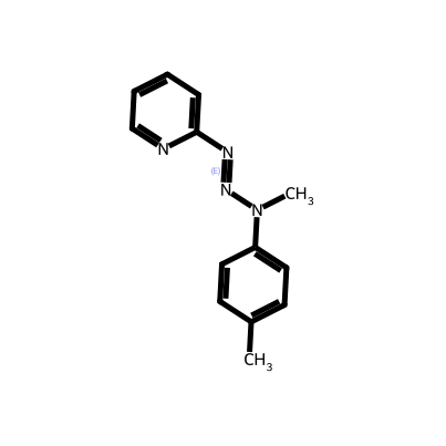 Cc1ccc(N(C)/N=N/c2ccccn2)cc1